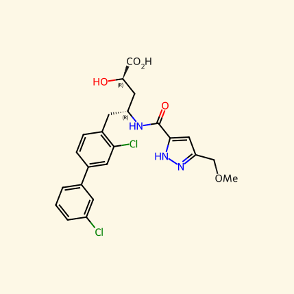 COCc1cc(C(=O)N[C@H](Cc2ccc(-c3cccc(Cl)c3)cc2Cl)C[C@@H](O)C(=O)O)[nH]n1